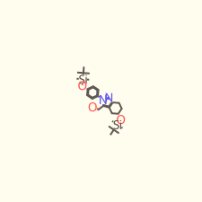 CC(C)(C)[Si](C)(C)Oc1ccc(-n2nc3c(c2C=O)CC(O[Si](C)(C)C(C)(C)C)CC3)cc1